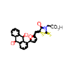 O=C(O)CN1C(=O)C(=Cc2ccc(-c3cccc4c3C(=O)c3ccccc3C4=O)o2)SC1=S